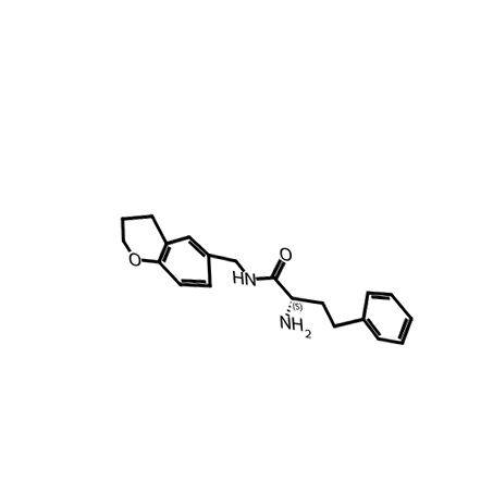 N[C@@H](CCc1ccccc1)C(=O)NCc1ccc2c(c1)CCCO2